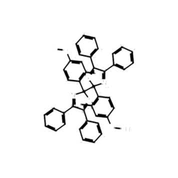 COc1ccc(C2(C3(c4ccc(OC)cc4Cl)N=C(c4ccccc4)C(c4ccccc4)=N3)N=C(c3ccccc3)C(c3ccccc3)=N2)c(Cl)c1